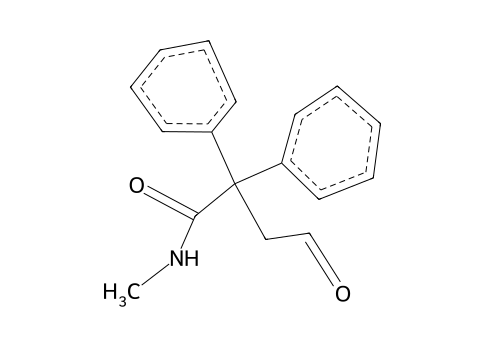 CNC(=O)C(CC=O)(c1ccccc1)c1ccccc1